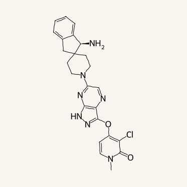 Cn1ccc(Oc2n[nH]c3nc(N4CCC5(CC4)Cc4ccccc4[C@H]5N)cnc23)c(Cl)c1=O